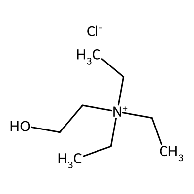 CC[N+](CC)(CC)CCO.[Cl-]